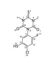 Cn1c(=S)n(C)c(=O)n(-c2cc(S)c(Cl)cc2F)c1=O